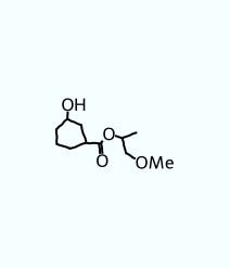 COCC(C)OC(=O)C1CCCC(O)C1